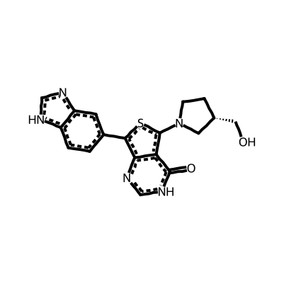 O=c1[nH]cnc2c(-c3ccc4[nH]cnc4c3)sc(N3CC[C@H](CO)C3)c12